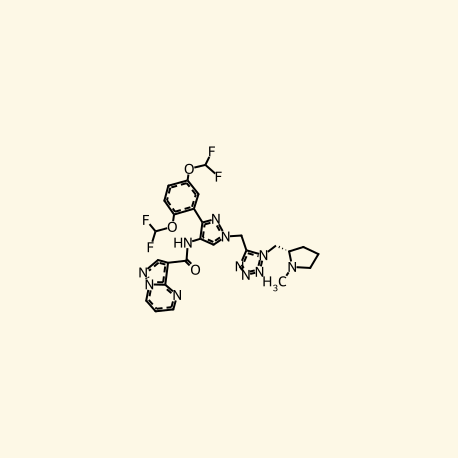 CN1CCC[C@H]1Cn1nnnc1Cn1cc(NC(=O)c2cnn3cccnc23)c(-c2cc(OC(F)F)ccc2OC(F)F)n1